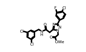 COC(=O)Cn1nc(-c2ccc(Cl)c(F)c2)nc1CC(=O)NCc1cc(Cl)cc(Cl)c1